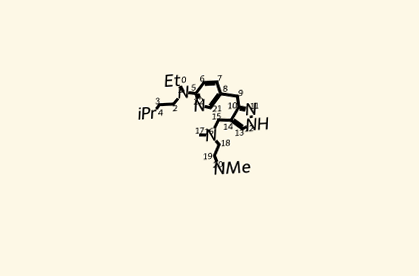 CCN(CCC(C)C)c1ccc(Cc2n[nH]cc2CN(C)CCNC)cn1